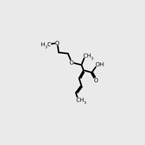 CC=CC=C(C(=O)O)C(C)OCCOC